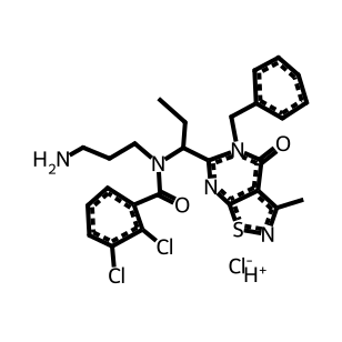 CCC(c1nc2snc(C)c2c(=O)n1Cc1ccccc1)N(CCCN)C(=O)c1cccc(Cl)c1Cl.[Cl-].[H+]